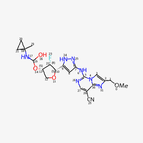 COCc1cn2c(Nc3cc([C@@H]4OC[C@H](OC(O)NC5(C)CC5)[C@@H]4F)[nH]n3)ncc(C#N)c2n1